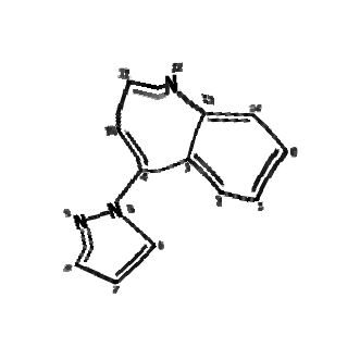 c1ccc2c(-n3cccn3)ccnc2c1